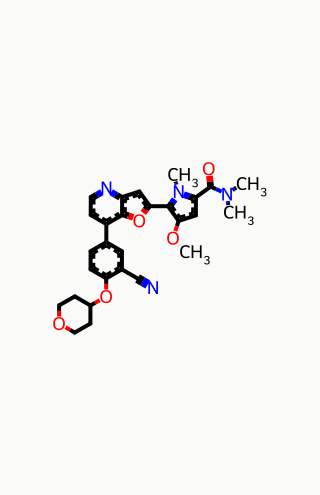 COc1cc(C(=O)N(C)C)n(C)c1-c1cc2nccc(-c3ccc(OC4CCOCC4)c(C#N)c3)c2o1